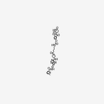 Cc1cccc(C(=O)NC2CC(n3cnc4c(NC5CCN(C(=O)CCCCCNC(=O)COc6ccc7c(c6)C(=O)N([C@H]6CCC(=O)NC6=O)C7=O)CC5)ncnc43)C2)n1